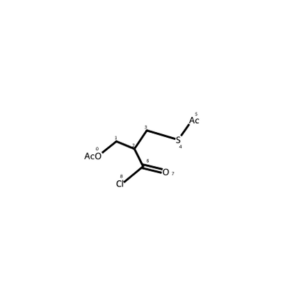 CC(=O)OCC(CSC(C)=O)C(=O)Cl